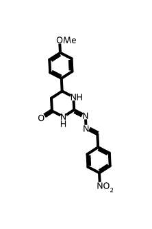 COc1ccc(C2CC(=O)NC(=NN=Cc3ccc([N+](=O)[O-])cc3)N2)cc1